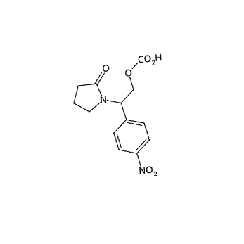 O=C(O)OCC(c1ccc([N+](=O)[O-])cc1)N1CCCC1=O